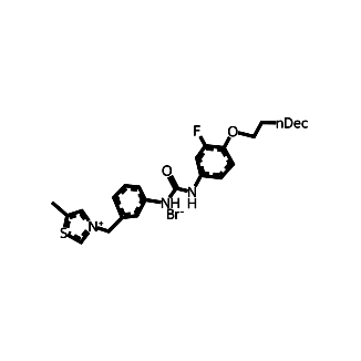 CCCCCCCCCCCCOc1ccc(NC(=O)Nc2cccc(C[n+]3csc(C)c3)c2)cc1F.[Br-]